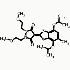 COCCN1C(=O)C(=C2Sc3c(OC(C)C)cc(C)c(OC(C)C)c3S2)C(=O)N1CCOC